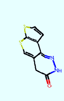 O=C1CC2=CSc3sccc3C2=NN1